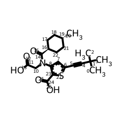 CC(C)(C)C#Cc1cc(N(CC(=O)O)C(=O)[C@H]2CC[C@H](C)CC2)c(C(=O)O)s1